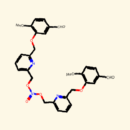 COc1ccc(C=O)cc1OCc1cccc(CO[N+](=O)OCc2cccc(COc3cc(C=O)ccc3OC)n2)n1